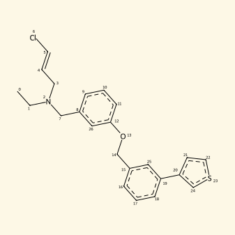 CCN(CC=CCl)Cc1cccc(OCc2cccc(-c3ccsc3)c2)c1